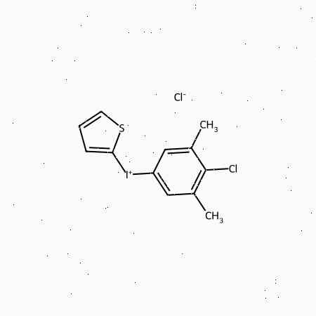 Cc1cc([I+]c2cccs2)cc(C)c1Cl.[Cl-]